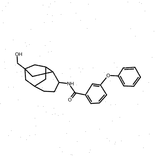 O=C(NC1CCC2CC3CC(CO)(C2)CC31)c1cccc(Oc2ccccc2)c1